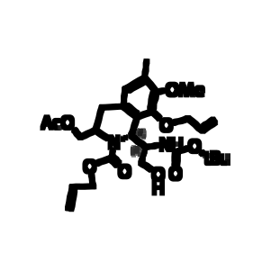 C=CCOC(=O)N1C(COC(C)=O)Cc2cc(C)c(OC)c(OCC=C)c2[C@@H]1[C@H](CO)NC(=O)OC(C)(C)C